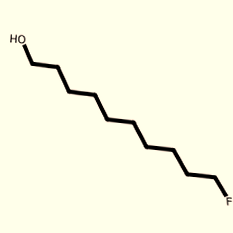 OCCCCCCCCCCF